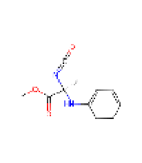 COC(=O)[C@@](C)(N=C=O)Nc1ccccc1